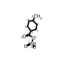 CC1CCC(C(=O)O[SH](=O)=O)CC1